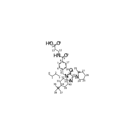 CCCC[C@H](c1ccc(C(=O)NCCC(=O)O)cc1)N1C(=O)C(N2CCCCC2C)=NC12CCC(C(C)(C)C)CC2